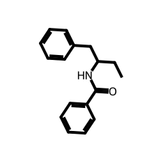 CCC(Cc1ccccc1)NC(=O)c1ccccc1